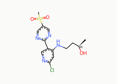 C[C@@H](O)CCNc1cc(Cl)ncc1-c1ncc(S(C)(=O)=O)cn1